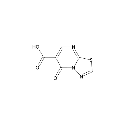 O=C(O)c1cnc2scnn2c1=O